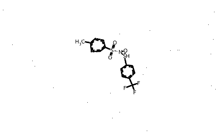 Cc1ccc(S(=O)(=O)[N@]2O[SH]2c2ccc(C(F)(F)F)cc2)cc1